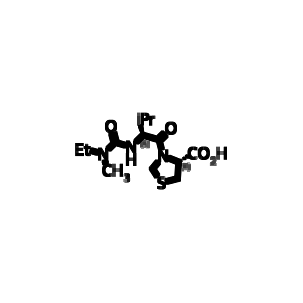 CCN(C)C(=O)N[C@H](C(=O)N1CSC[C@H]1C(=O)O)C(C)C